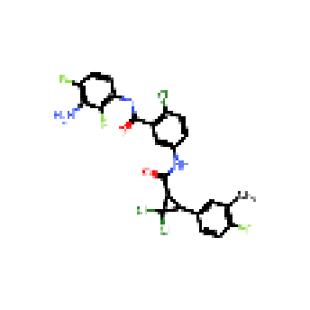 Nc1c(F)ccc(NC(=O)c2cc(NC(=O)C3C(c4ccc(F)c(C(F)(F)F)c4)C3(Cl)Cl)ccc2Cl)c1F